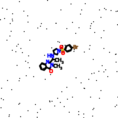 CC(NC1CCN(S(=O)(=O)c2ccc(Br)cc2)C1)c1nc2ccccc2c(=O)n1C